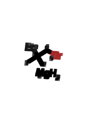 CCC(C)(C)CBr.[MgH2]